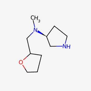 CN(CC1CCCO1)[C@H]1CCNC1